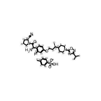 CC(C)c1noc(N2CCC([C@H](C)CCOc3ccc([C@H](N)C(=O)N4CCC[C@H]4C#N)c(F)c3)CC2)n1.Cc1ccc(S(=O)(=O)O)cc1